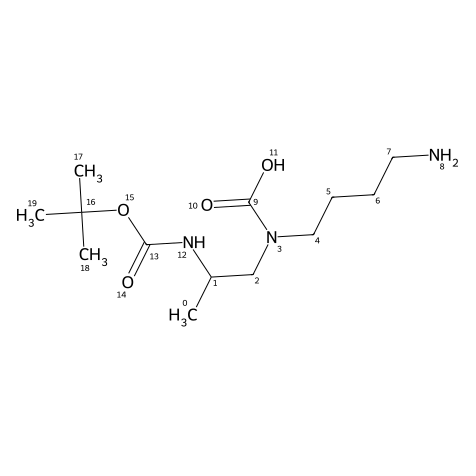 CC(CN(CCCCN)C(=O)O)NC(=O)OC(C)(C)C